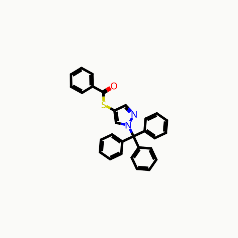 O=C(Sc1cnn(C(c2ccccc2)(c2ccccc2)c2ccccc2)c1)c1ccccc1